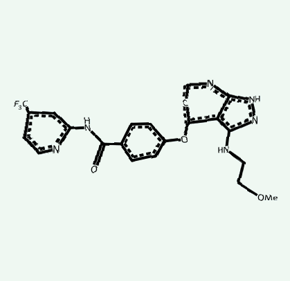 COCCNc1n[nH]c2nccc(Oc3ccc(C(=O)Nc4cc(C(F)(F)F)ccn4)cc3)c12